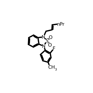 CCC/C=C/CN1c2ccccc2N(c2ccc(C)cc2F)S1(=O)=O